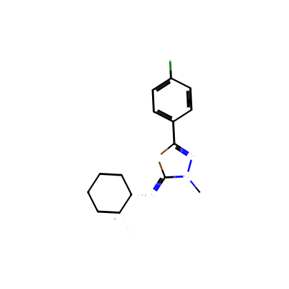 Cn1nc(-c2ccc(Cl)cc2)sc1=N[C@H]1CCCC[C@H]1O